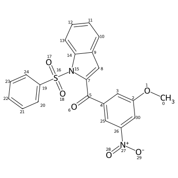 COc1cc(C(=O)c2cc3ccccc3n2S(=O)(=O)c2ccccc2)cc([N+](=O)[O-])c1